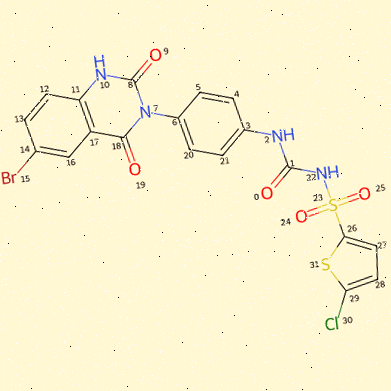 O=C(Nc1ccc(-n2c(=O)[nH]c3ccc(Br)cc3c2=O)cc1)NS(=O)(=O)c1ccc(Cl)s1